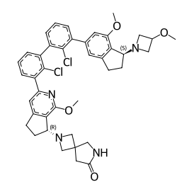 COc1cc(-c2cccc(-c3cccc(-c4cc5c(c(OC)n4)[C@H](N4CC6(CNC(=O)C6)C4)CC5)c3Cl)c2Cl)cc2c1[C@@H](N1CC(OC)C1)CC2